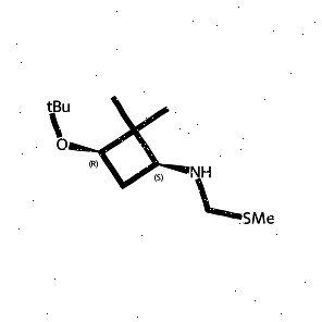 CSCN[C@H]1C[C@@H](OC(C)(C)C)C1(C)C